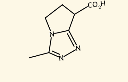 Cc1nnc2n1CCC2C(=O)O